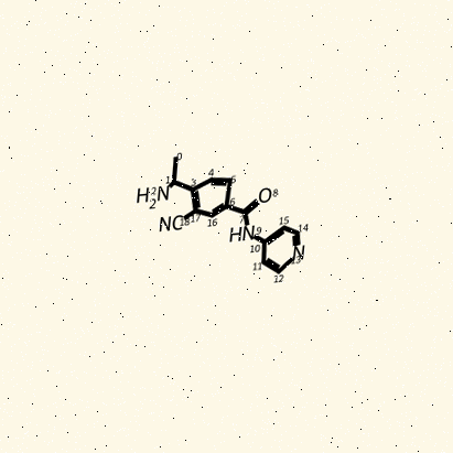 CC(N)c1ccc(C(=O)Nc2ccncc2)cc1C#N